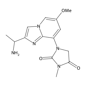 COc1cc(N2CC(=O)N(C)C2=O)c2nc(C(C)N)cn2c1